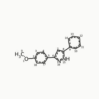 COc1ccc(-c2cc(-c3ccccc3)[nH]n2)cc1